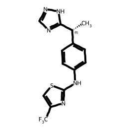 C[C@H](c1ccc(Nc2nc(C(F)(F)F)cs2)cc1)c1ncn[nH]1